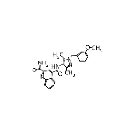 COc1cccc(Cn2nc(C)c(NC(=O)c3cc(C(N)=O)nc4ccccc34)c2C)c1